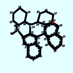 CN(C)c1cc2ccccc2c(-c2cccc3ccccc23)c1P(C1CCCCC1)C1CCCCC1